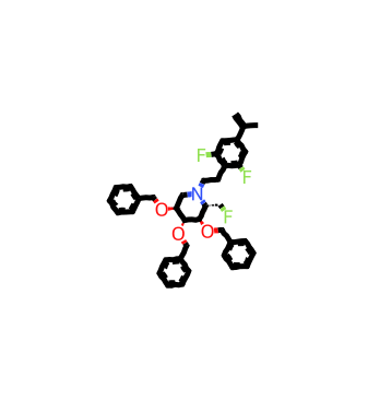 C=C(C)c1cc(F)c(CCN2C[C@H](OCc3ccccc3)[C@@H](OCc3ccccc3)[C@H](OCc3ccccc3)[C@H]2CF)c(F)c1